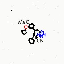 COc1ccc(C(C#Cc2ccccc2)Cc2nnnn2CCC#N)cc1OC1CCCC1